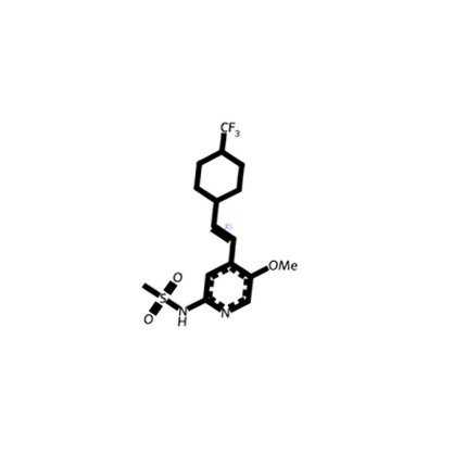 COc1cnc(NS(C)(=O)=O)cc1/C=C/C1CCC(C(F)(F)F)CC1